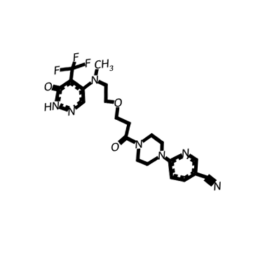 CN(CCOCCC(=O)N1CCN(c2ccc(C#N)cn2)CC1)c1cn[nH]c(=O)c1C(F)(F)F